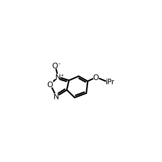 CC(C)Oc1ccc2no[n+]([O-])c2c1